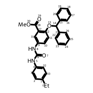 CCc1ccc(NC(=O)Nc2ccc(OC(c3ccccc3)c3ccccc3)c(C(=O)OC)c2)cc1